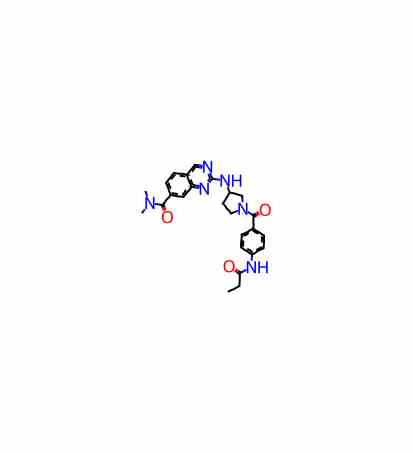 CCC(=O)Nc1ccc(C(=O)N2CCC(Nc3ncc4ccc(C(=O)N(C)C)cc4n3)C2)cc1